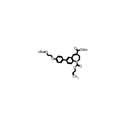 C=CCOC(=O)N1CCC(C(=O)OC)=Cc2cc(-c3ccc(OCCOCCCC)cc3)ccc21